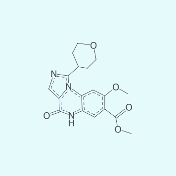 COC(=O)c1cc2[nH]c(=O)c3cnc(C4CCOCC4)n3c2cc1OC